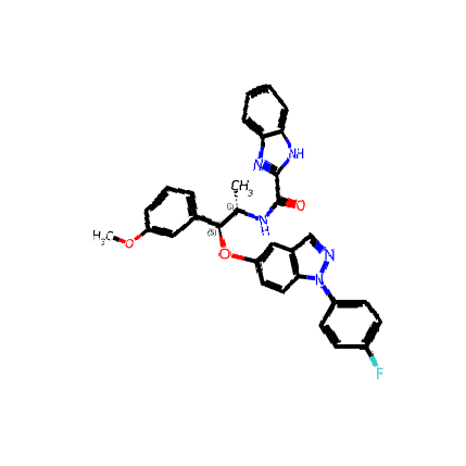 COc1cccc([C@H](Oc2ccc3c(cnn3-c3ccc(F)cc3)c2)[C@H](C)NC(=O)c2nc3ccccc3[nH]2)c1